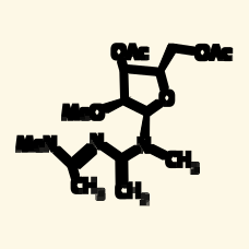 C=C(/N=C(\C)NC)N(C)[C@@H]1O[C@H](COC(C)=O)C(OC(C)=O)[C@@H]1OC